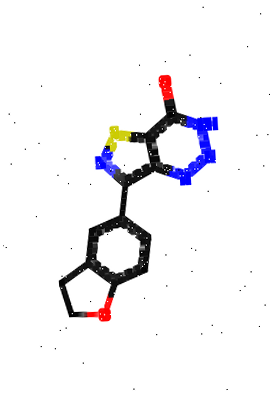 O=c1[nH]nnc2c(-c3ccc4c(c3)CCO4)nsc12